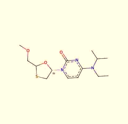 CCN(c1ccn([C@@H]2CSC(COC)O2)c(=O)n1)C(C)C